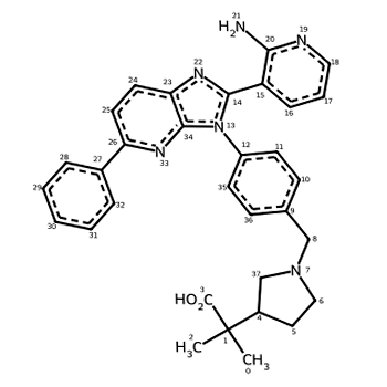 CC(C)(C(=O)O)C1CCN(Cc2ccc(-n3c(-c4cccnc4N)nc4ccc(-c5ccccc5)nc43)cc2)C1